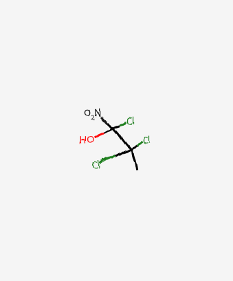 CC(Cl)(Cl)C(O)(Cl)[N+](=O)[O-]